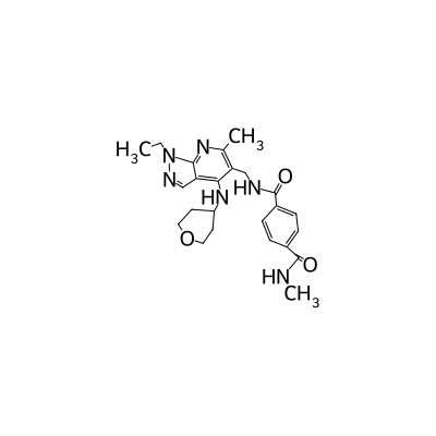 CCn1ncc2c(NC3CCOCC3)c(CNC(=O)c3ccc(C(=O)NC)cc3)c(C)nc21